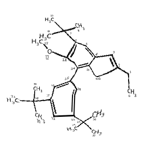 CCC1=Cc2cc(C(C)(C)C)c(OC)c(-c3cc(C(C)(C)C)cc(C(C)(C)C)c3)c2C1